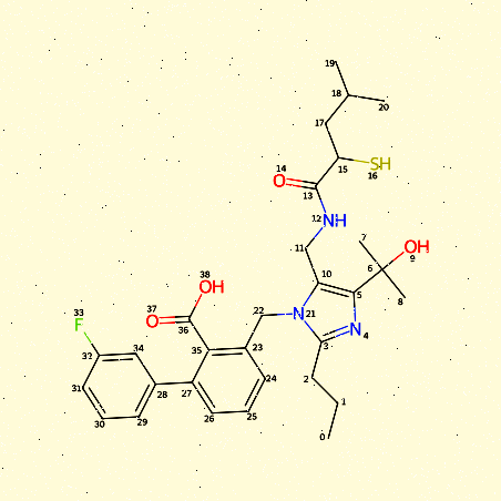 CCCc1nc(C(C)(C)O)c(CNC(=O)C(S)CC(C)C)n1Cc1cccc(-c2cccc(F)c2)c1C(=O)O